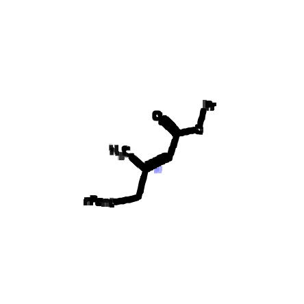 CCCCCC/C(C)=C/C(=O)OC(C)C